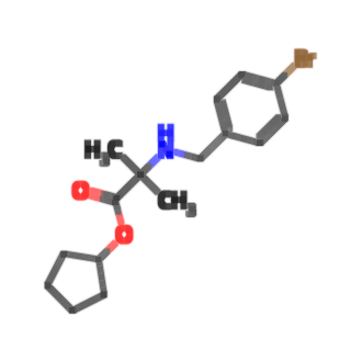 CC(C)(NCc1ccc(Br)cc1)C(=O)OC1CCCC1